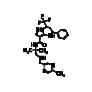 Cc1cnc(CNCC(C)(C)NC(=O)c2cnn3c2NC(c2ccccc2)CC3C(F)(F)F)cn1